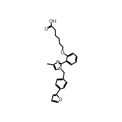 Cc1cn(Cc2ccc(-c3ccco3)cc2)c(-c2ccccc2OCCCCCC(=O)O)n1